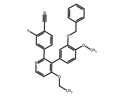 CCOc1ccnc(-c2ccc(C#N)c(F)c2)c1-c1ccc(OC)c(OCc2ccccc2)c1